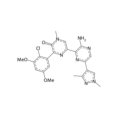 COc1cc(OC)c(Cl)c(-c2nc(-c3nc(-c4cn(C)nc4C)cnc3N)cn(C)c2=O)c1